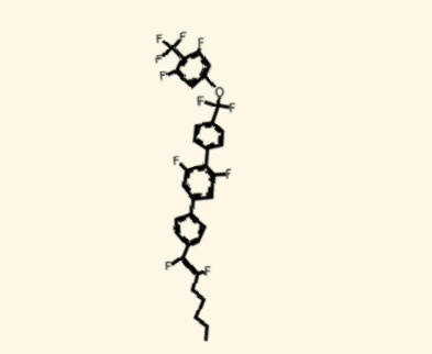 CCCCC/C(F)=C(\F)c1ccc(-c2cc(F)c(-c3ccc(C(F)(F)Oc4cc(F)c(C(F)(F)F)c(F)c4)cc3)c(F)c2)cc1